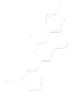 COc1cc(-c2cc(F)c3c(c2)COc2nc(F)ccc2-3)cnn1